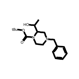 CC(O)C1CN(Cc2ccccc2)CCN1C(=O)OC(C)(C)C